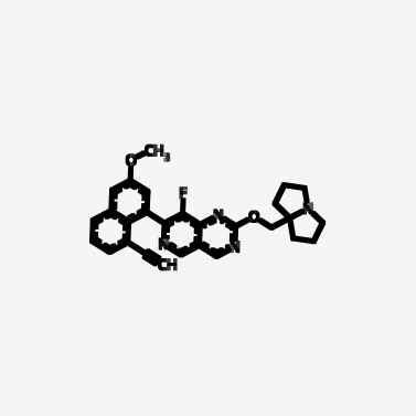 C#Cc1cccc2cc(OC)cc(-c3ncc4cnc(OCC56CCCN5CCC6)nc4c3F)c12